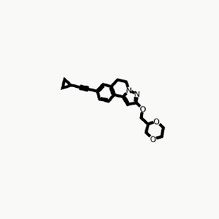 C(#CC1CC1)c1ccc2c(c1)CCn1nc(OCC3COCCO3)cc1-2